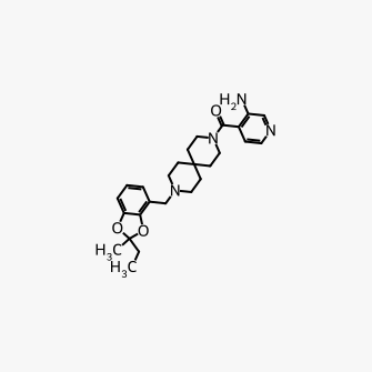 CCC1(C)Oc2cccc(CN3CCC4(CC3)CCN(C(=O)c3ccncc3N)CC4)c2O1